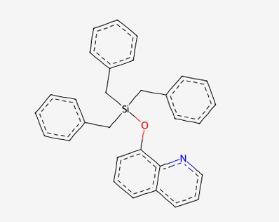 c1ccc(C[Si](Cc2ccccc2)(Cc2ccccc2)Oc2cccc3cccnc23)cc1